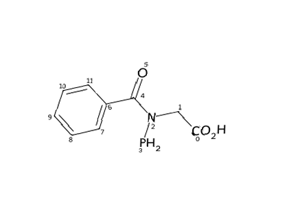 O=C(O)CN(P)C(=O)c1ccccc1